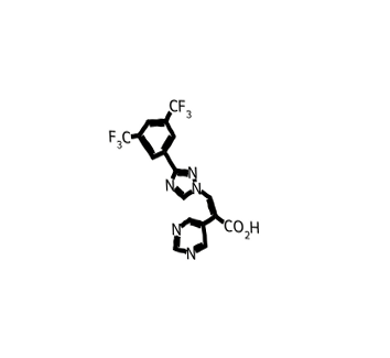 O=C(O)C(=Cn1cnc(-c2cc(C(F)(F)F)cc(C(F)(F)F)c2)n1)c1cncnc1